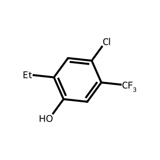 CCc1cc(Cl)c(C(F)(F)F)cc1O